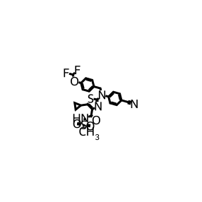 CS(=O)(=O)NC(=O)c1nc(N(Cc2ccc(OC(F)F)cc2)c2ccc(C#N)cc2)sc1C1CC1